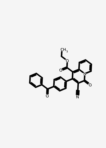 CCOC(=O)c1c(-c2ccc(C(=O)c3ccccc3)cc2)c(C#N)c(=O)n2ccccc12